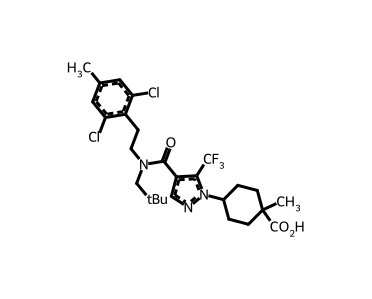 Cc1cc(Cl)c(CCN(CC(C)(C)C)C(=O)c2cnn(C3CCC(C)(C(=O)O)CC3)c2C(F)(F)F)c(Cl)c1